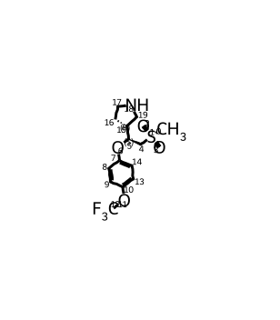 CS(=O)(=O)C[C@@H](Oc1ccc(OC(F)(F)F)cc1)[C@@H]1CCNC1